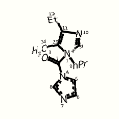 CCC[N+]1(C(=O)n2ccnc2)C=NC(CC)=C1C